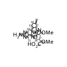 COc1cccc(-c2cc(F)ccc2C2Cc3nc(N)nc(C)c3C(=NOCCC(OC)C(=O)O)N2)n1